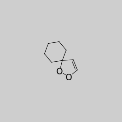 C1=CC2(CCCCC2)OO1